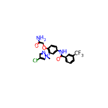 C[N+]1(c2cc(NC(=O)c3cccc(C(F)(F)F)c3)ccc2OCC(N)=O)C=C(Cl)C=N1